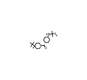 CSC(C)(C)N[C@H]1CC[C@H](C(=O)N2CCC(C)(C(C)(C)C)CC2)CC1